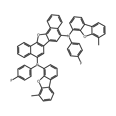 Cc1cccc2c1oc1c(N(c3ccc(F)cc3)c3cc4c5cc(N(c6ccc(F)cc6)c6cccc7c6oc6c(C)cccc67)c6ccccc6c5oc4c4ccccc34)cccc12